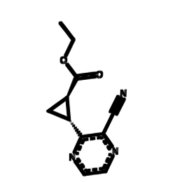 CCOC(=O)[C@@H]1C[C@H]1c1nccnc1C#N